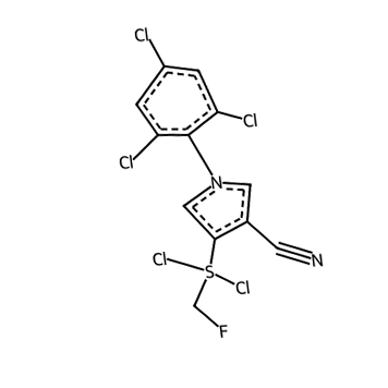 N#Cc1cn(-c2c(Cl)cc(Cl)cc2Cl)cc1S(Cl)(Cl)CF